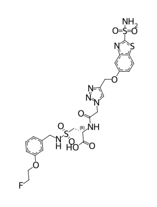 NS(=O)(=O)c1nc2cc(OCc3cn(CC(=O)N[C@@H](CS(=O)(=O)NCc4cccc(OCCF)c4)C(=O)O)nn3)ccc2s1